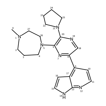 CN1CCCN(c2nc(-c3ccnc4[nH]ccc34)cnc2N2CCCC2)CC1